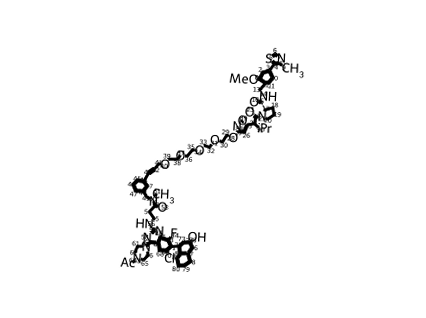 COc1cc(-c2scnc2C)ccc1CNC(=O)[C@@H]1CCCN1C(=O)C(c1cc(OCCOCCOCCOCCOCC#Cc2cccc(CN(C)C(=O)CCNc3nc(N4CCN(C(C)=O)CC4)c4cc(Cl)c(-c5cc(O)cc6ccccc56)c(F)c4n3)c2)no1)C(C)C